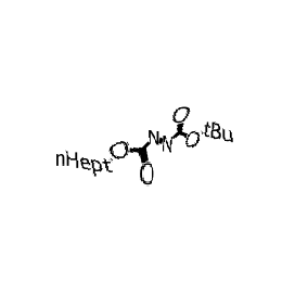 CCCCCCCOC(=O)/N=N/C(=O)OC(C)(C)C